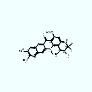 COc1cc2c(c3c1c(=O)c1cc4cc(C(C)(C)C)c(C(C)(C)C)cc4cc1n3C)[C@H](O)[C@H](O)C(C)(C)O2